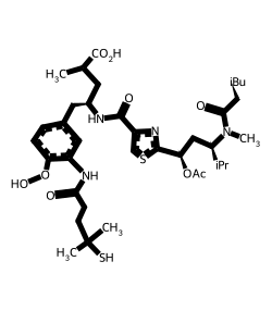 CC[C@H](C)CC(=O)N(C)[C@H](C[C@@H](OC(C)=O)c1nc(C(=O)N[C@@H](Cc2ccc(OO)c(NC(=O)CCC(C)(C)S)c2)CC(C)C(=O)O)cs1)C(C)C